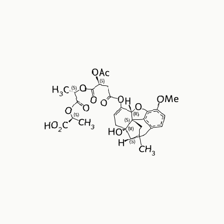 COc1ccc2c3c1O[C@H]1C(OC(=O)C[C@H](OC(C)=O)C(=O)O[C@@H](C)C(=O)O[C@@H](C)C(=O)O)=CC[C@@]4(O)[C@@H](C2)C(C)CC[C@]314